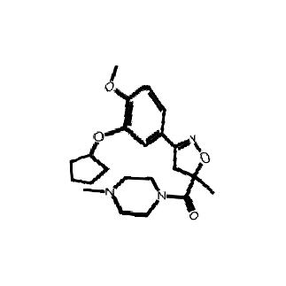 COc1ccc(C2=NOC(C)(C(=O)N3CCN(C)CC3)C2)cc1OC1CCCC1